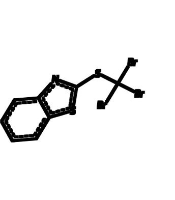 BrC(Br)(Br)Sc1nc2ccccc2s1